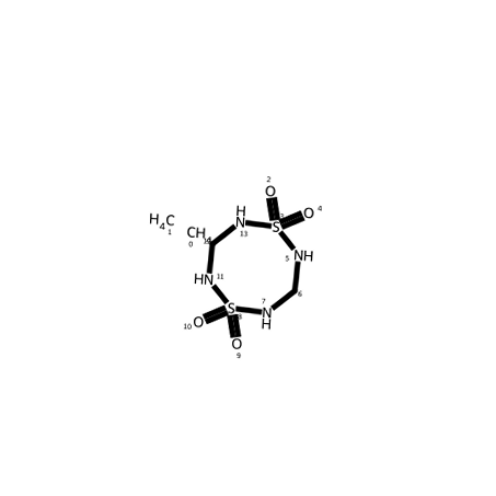 C.C.O=S1(=O)NCNS(=O)(=O)NCN1